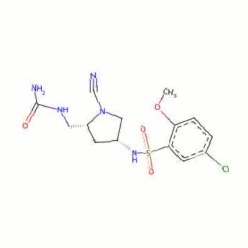 COc1ccc(Cl)cc1S(=O)(=O)N[C@@H]1C[C@H](CNC(N)=O)N(C#N)C1